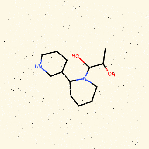 CC(O)C(O)N1CCCCC1C1CCCNC1